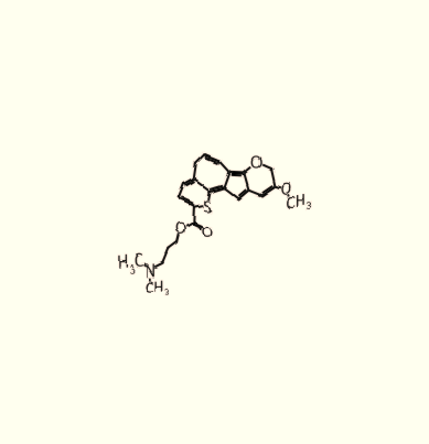 COC1=CC2=CC3=C4SC(C(=O)OCCCN(C)C)=CC=C4CC=CC3=C2OC1